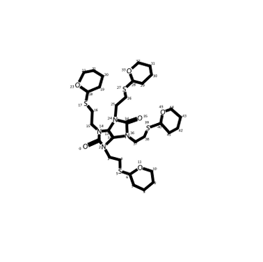 O=C1N(CCSC2CCCCO2)C2C(N1CCSC1CCCCO1)N(CCSC1CCCCO1)C(=O)N2CCSC1CCCCO1